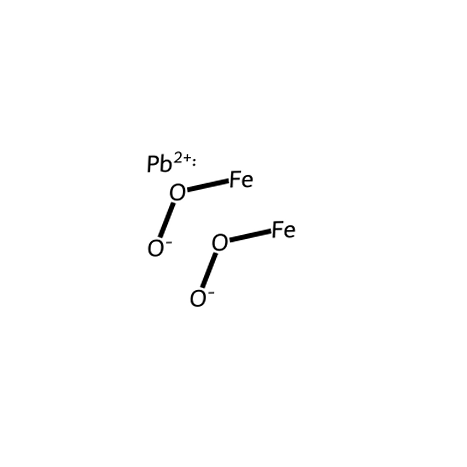 [O-][O][Fe].[O-][O][Fe].[Pb+2]